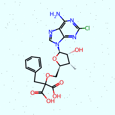 C[C@H]1[C@@H](O)[C@H](n2cnc3c(N)nc(Cl)nc32)O[C@@H]1COC(Cc1ccccc1)(C(=O)O)C(=O)O